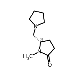 CN1C(=O)CC[C@H]1CN1CCCC1